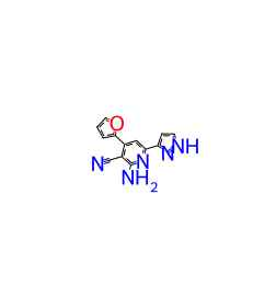 N#Cc1c(-c2ccco2)cc(-c2cc[nH]n2)nc1N